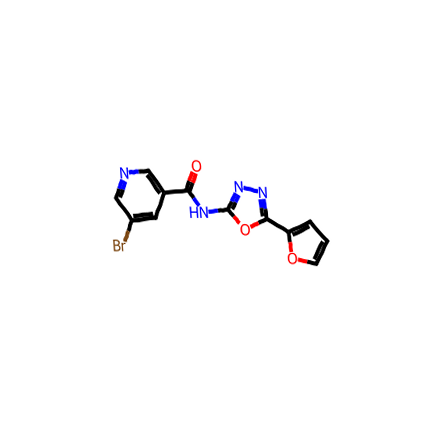 O=C(Nc1nnc(-c2ccco2)o1)c1cncc(Br)c1